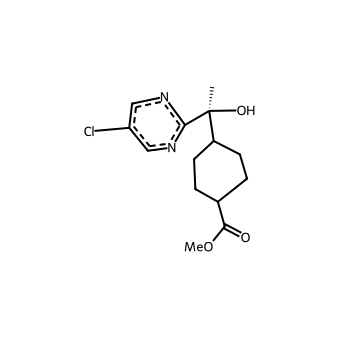 COC(=O)C1CCC([C@](C)(O)c2ncc(Cl)cn2)CC1